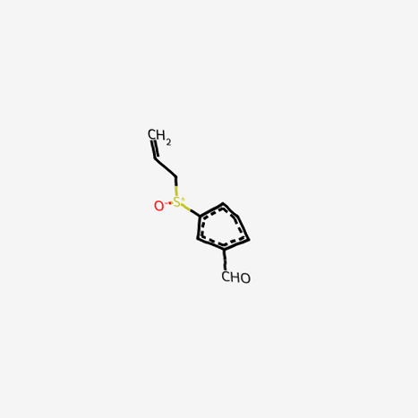 C=CC[S+]([O-])c1cccc(C=O)c1